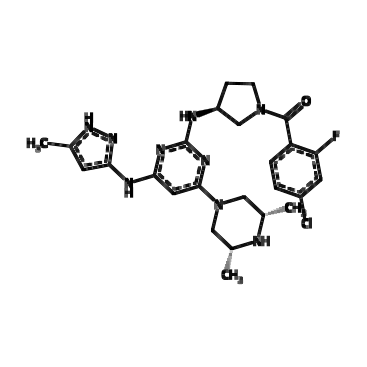 Cc1cc(Nc2cc(N3C[C@@H](C)N[C@@H](C)C3)nc(N[C@H]3CCN(C(=O)c4ccc(Cl)cc4F)C3)n2)n[nH]1